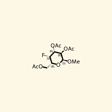 CO[C@H]1O[C@H](COC(C)=O)[C@H](F)[C@H](OC(C)=O)[C@H]1OC(C)=O